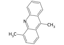 Cc1c2ccccc2nc2c(C)cccc12